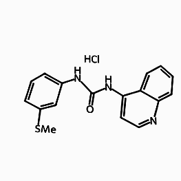 CSc1cccc(NC(=O)Nc2ccnc3ccccc23)c1.Cl